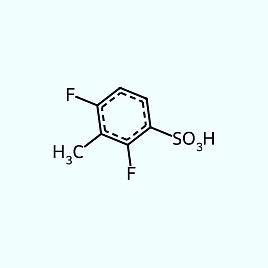 Cc1c(F)ccc(S(=O)(=O)O)c1F